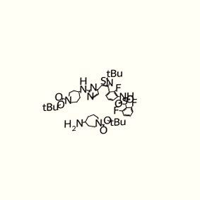 CC(C)(C)OC(=O)N1CCCC(N)CC1.CC(C)(C)OC(=O)N1CCCC(Nc2nccc(-c3sc(C(C)(C)C)nc3-c3cccc(NS(=O)(=O)c4c(F)cccc4F)c3F)n2)CC1